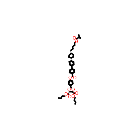 C=C(C)C(=O)OCCCCC[C@H]1CC[C@H](c2ccc(-c3ccc(C(=O)Oc4ccc(C5O[C@@H](C(=O)OCCCC)[C@H](C(=O)OCCCC)O5)cc4)cc3)cc2)CC1